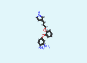 Nc1ccc(Oc2ccccc2OCCCC2CCNC2)cc1N